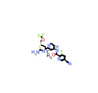 C[C@@]1(c2cc(NC(=O)c3ncc(C#N)cc3F)ccn2)C[C@@H](COC(F)F)SC(N)=N1